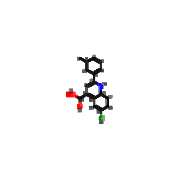 Cc1cccc(-c2cc(C(=O)O)c3cc(Cl)ccc3n2)c1